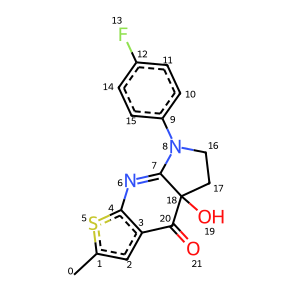 Cc1cc2c(s1)N=C1N(c3ccc(F)cc3)CCC1(O)C2=O